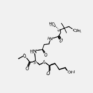 COC(=O)[C@H](CSC(=O)CCCO)NC(=O)CCNC(=O)[C@H](O)C(C)(C)CO